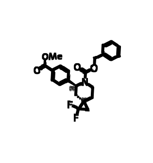 COC(=O)c1ccc([C@@H]2C[C@]3(CCN2C(=O)OCc2ccccc2)CC3(F)F)cc1